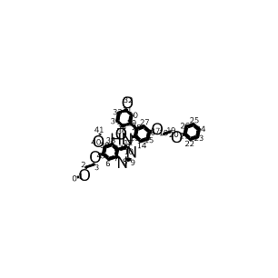 COCCOc1cc2ncnc(Nc3ccc(OCCOc4ccccc4)cc3C3=CC(=O)C=CC3=O)c2cc1OC